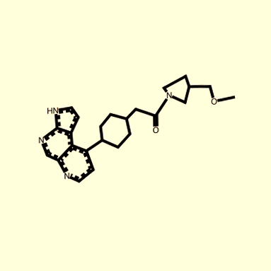 COCC1CCN(C(=O)CC2CCC(c3ccnc4cnc5[nH]ccc5c34)CC2)C1